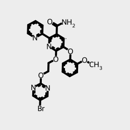 COc1ccccc1Oc1[c]c(C(N)=O)c(-c2ccccn2)nc1OCCOc1ncc(Br)cn1